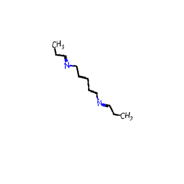 CCC=NCCCCCN=CCC